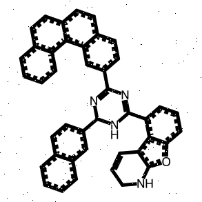 C1=Cc2c(oc3cccc(C4=NC(c5ccc6ccc7ccc8ccccc8c7c6c5)=NC(c5ccc6ccccc6c5)N4)c23)NC1